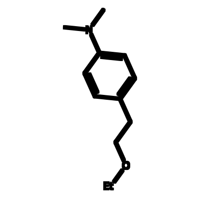 CCOCCc1ccc(N(C)C)cc1